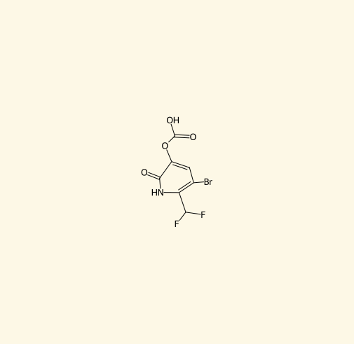 O=C(O)Oc1cc(Br)c(C(F)F)[nH]c1=O